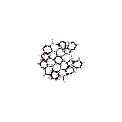 CN1c2ccccc2N(c2c(-c3nc4cccnc4n3C)c(-c3nc4cccnc4n3C)c(N3c4ccccc4N(C)c4ccccc43)c(N3c4ccccc4N(C)c4ccccc43)c2-c2ccccc2)c2ccccc21